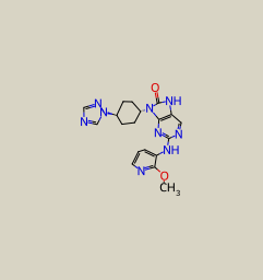 COc1ncccc1Nc1ncc2[nH]c(=O)n([C@H]3CC[C@H](n4cncn4)CC3)c2n1